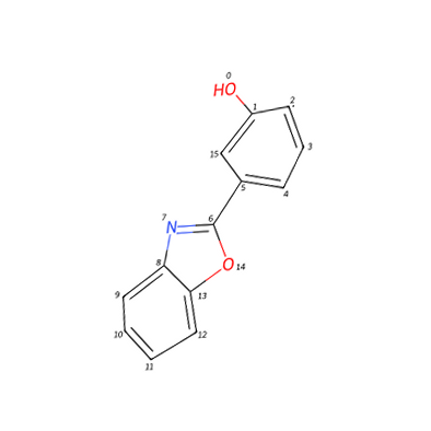 Oc1[c]ccc(-c2nc3ccccc3o2)c1